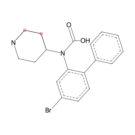 O=C(O)N(c1cc(Br)ccc1-c1ccccc1)C12CCN(CC1)CC2